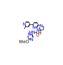 COc1cnc(NC(=O)N2c3nc(-c4ccnc(C)c4)ccc3N3CC[C@H]2C3)cn1